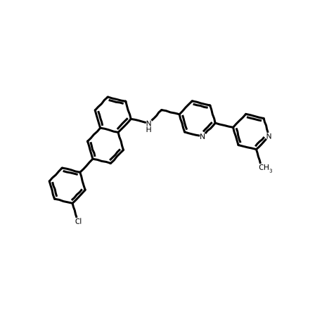 Cc1cc(-c2ccc(CNc3cccc4cc(-c5cccc(Cl)c5)ccc34)cn2)ccn1